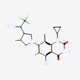 CC1=c2c(c(=O)[nH]c(=O)n2C2CC2)=C(N)C(F)C1N1CC(F)C(C(N)C(F)(F)F)C1